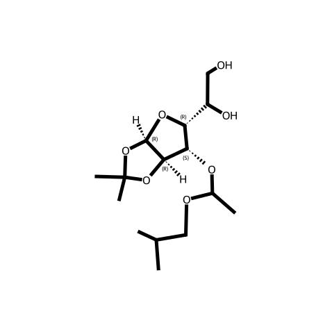 CC(C)COC(C)O[C@@H]1[C@H]2OC(C)(C)O[C@H]2O[C@@H]1C(O)CO